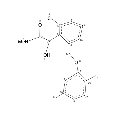 CNC(=O)C(O)c1c(Cl)cccc1COc1cc(C)ccc1C